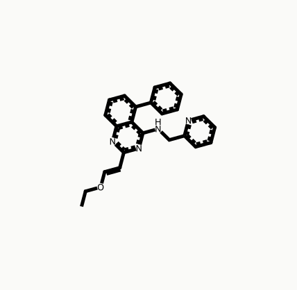 CCOC=Cc1nc(NCc2ccccn2)c2c(-c3ccccc3)cccc2n1